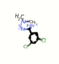 CN(C)/N=N\C(=N)c1cc(Cl)cc(Cl)c1